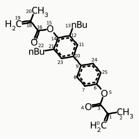 C=C(C)C(=O)Oc1ccc(-c2cc(CCCC)c(OC(=O)C(=C)C)c(CCCC)c2)cc1